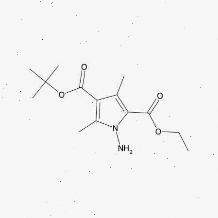 CCOC(=O)c1c(C)c(C(=O)OC(C)(C)C)c(C)n1N